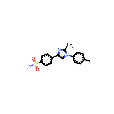 Cc1ccc(-n2cc(-c3ccc(S(N)(=O)=O)cc3)nc2C(F)(F)F)cc1